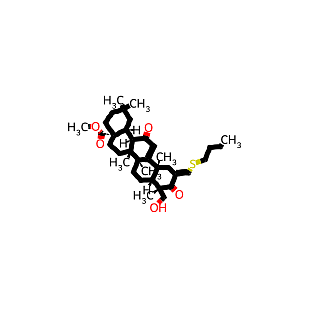 CCCCS/C=C1\C[C@]2(C)C3=CC(=O)[C@@H]4[C@@H]5CC(C)(C)CC[C@]5(C(=O)OC)CC[C@@]4(C)[C@]3(C)CC[C@H]2[C@@](C)(CO)C1=O